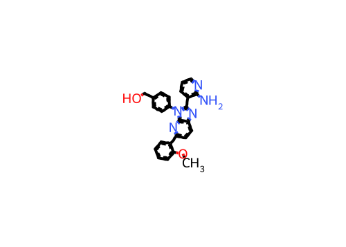 COc1ccccc1-c1ccc2nc(-c3cccnc3N)n(-c3ccc(CO)cc3)c2n1